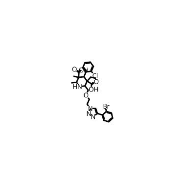 CCC1(C(=O)O)C(COCCn2cc(-c3ccccc3Br)nn2)NC(C)C(C)(C(=O)O)C1c1ccccc1Cl